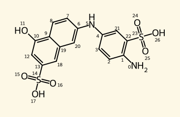 Nc1ccc(Nc2ccc3c(O)cc(S(=O)(=O)O)cc3c2)cc1S(=O)(=O)O